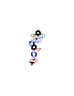 COc1cc2c(NC(=O)Nc3c(Cl)cccc3Cl)ncnc2cc1N1CCN(C(=O)OC(C)(C)C)CC1